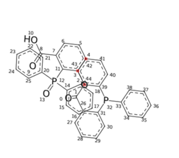 O=C(Oc1cccc(C(=O)O)c1P(=O)(c1ccccc1)c1ccccc1)c1ccccc1P(c1ccccc1)c1ccccc1